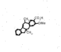 COc1cc2c(cc1C(=O)O)C(C)C=C1c3ccccc3CC1(C)C2